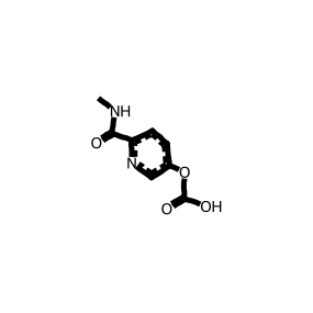 CNC(=O)c1ccc(OC(=O)O)cn1